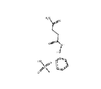 CS(=O)(=O)O.NC(=O)CCC(=O)NO.c1ccccc1